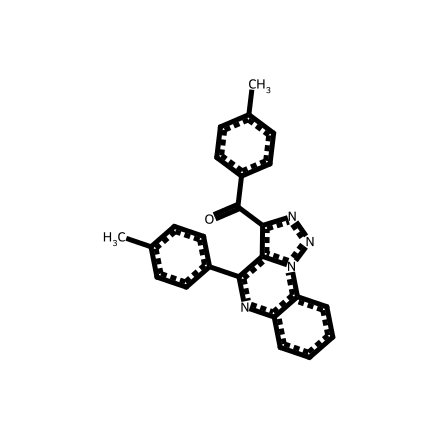 Cc1ccc(C(=O)c2nnn3c2c(-c2ccc(C)cc2)nc2ccccc23)cc1